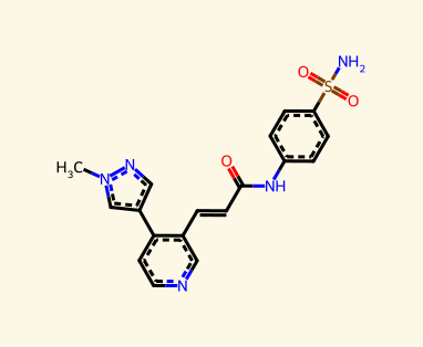 Cn1cc(-c2ccncc2C=CC(=O)Nc2ccc(S(N)(=O)=O)cc2)cn1